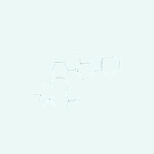 CC(=O)OCc1c(B2OC(C)(C)C(C)(C)O2)cccc1N1CCc2c(sc3c2CCCC3)C1=O